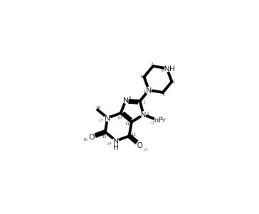 CCCn1c(N2CCNCC2)nc2c1c(=O)[nH]c(=O)n2C